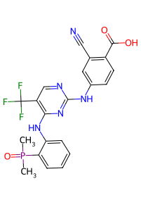 CP(C)(=O)c1ccccc1Nc1nc(Nc2ccc(C(=O)O)c(C#N)c2)ncc1C(F)(F)F